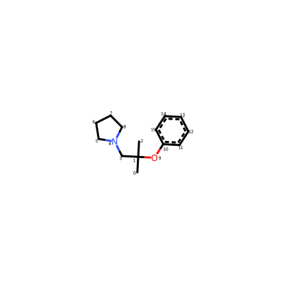 CC(C)(CN1CCCC1)Oc1cc[c]cc1